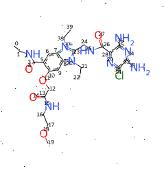 CCNC(=O)c1cc2c(cc1OCC(=O)NCCOC)n(CC)c(CNC(=O)c1nc(Cl)c(N)nc1N)[n+]2CC